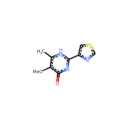 COc1c(C)[nH]c(-c2cscn2)nc1=O